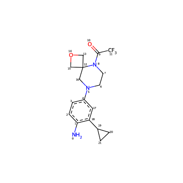 Nc1ccc(N2CCN(C(=O)C(F)(F)F)C3(COC3)C2)cc1C1CC1